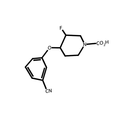 N#Cc1cccc(OC2CCN(C(=O)O)CC2F)c1